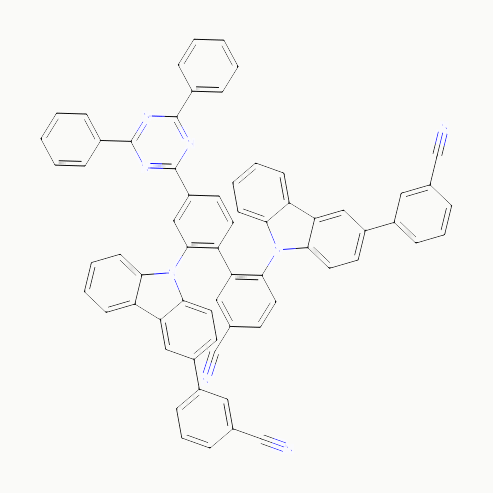 N#Cc1cccc(-c2ccc3c(c2)c2ccccc2n3-c2ccc(C#N)cc2-c2ccc(-c3nc(-c4ccccc4)nc(-c4ccccc4)n3)cc2-n2c3ccccc3c3cc(-c4cccc(C#N)c4)ccc32)c1